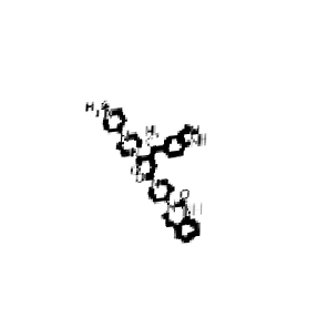 CC(c1ccc2[nH]ncc2c1)C(CC(=O)N1CCC(N2CCc3ccccc3NC2=O)CC1)C(=O)N1CCN(C2CCN(C)CC2)CC1